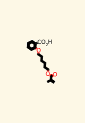 C=C(C)C(=O)OCCCCCCOc1ccccc1C(=O)O